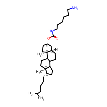 CC(C)CCCC[C@H]1CCC2C3CC[C@H]4C[C@@H](OC(=O)NCCCCCCN)CC[C@]4(C)C3CC[C@@]21C